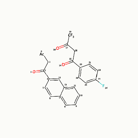 CC(=O)CC(=O)c1ccc2ccccc2c1.O=C(CC(=O)C(F)(F)F)c1ccc(F)cc1